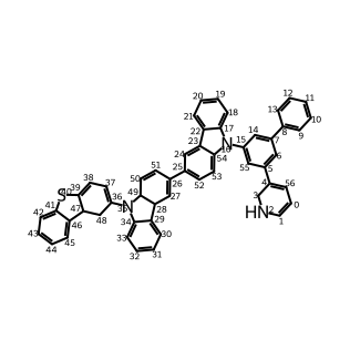 C1=CNCC(c2cc(-c3ccccc3)cc(-n3c4ccccc4c4cc(C5=CC6c7ccccc7N(C7=CC=C8Sc9ccccc9C8C7)C6C=C5)ccc43)c2)=C1